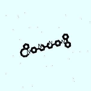 c1cccn(-c2ccc(-c3ccc(-c4ccc(-c5ccc(-n6c7ccccc7c7ccccc76)cc5)nc4)cn3)cc2)c2ccccc2cc1